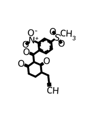 C#CCC1CCC(=O)C(C(=O)c2ccc(S(C)(=O)=O)cc2[N+](=O)[O-])C1=O